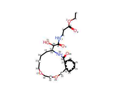 CCOC(=O)CCNC(=O)C(O)[C@@H]1CCCCOCCOCc2ccccc2C(=O)N1